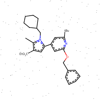 CCOC(=O)c1cc(-c2cc(OCc3ccccc3)nc(C(C)(C)C)c2)n(CC2CCCCC2)c1C